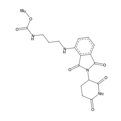 CC(C)(C)OC(=O)NCCCNc1cccc2c1C(=O)N(C1CCC(=O)NC1=O)C2=O